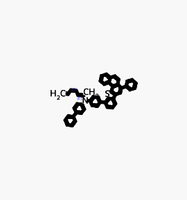 C=C/C=C\C=C(/C)N(c1ccc(-c2ccccc2)cc1)c1ccc(-c2cccc3c2sc2c3cc(-c3ccccc3)c3ccc4ccccc4c32)cc1